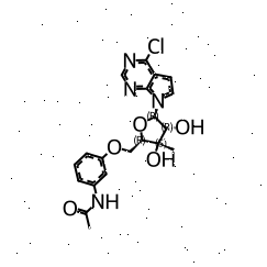 CC(=O)Nc1cccc(OC[C@H]2O[C@@H](n3ccc4c(Cl)ncnc43)[C@H](O)[C@]2(C)O)c1